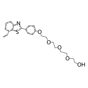 C=Cc1cccc2nc(-c3ccc(OCCOCCOCCOCCO)cc3)sc12